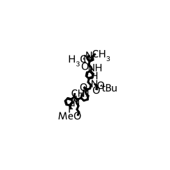 COCCCn1c(C2CCCN(C(=O)CC(Cc3ccc(NC(=O)c4cc(C)nn4C)cc3)NC(=O)OC(C)(C)C)C2)c(C)c2cccc(F)c21